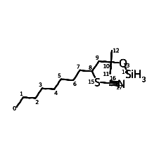 CCCCCCCCC(CC(C)(C)O[SiH3])SC#N